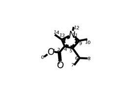 COC(=O)c1c(C(C)C)c(C)n(C)c1C